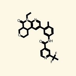 CCN1C(=O)C2COCCC2c2cc(-c3cc(NC(=O)c4ccnc(C(C)(F)F)c4)ccc3C)cnc21